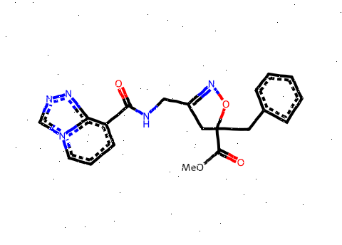 COC(=O)C1(Cc2ccccc2)CC(CNC(=O)c2cccn3cnnc23)=NO1